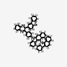 c1ccc2c(-n3c4ccccc4c4ccc5ccccc5c43)c3c4ccccc4n(-c4ccc(-c5nc6ccccc6nc5-c5ccc6sc7ccccc7c6c5)cc4)c3cc2c1